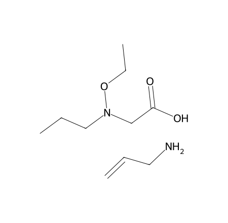 C=CCN.CCCN(CC(=O)O)OCC